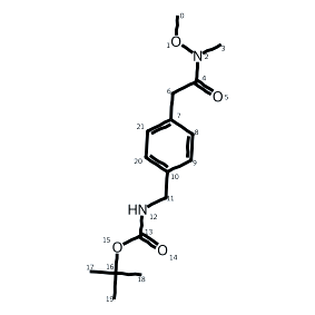 CON(C)C(=O)Cc1ccc(CNC(=O)OC(C)(C)C)cc1